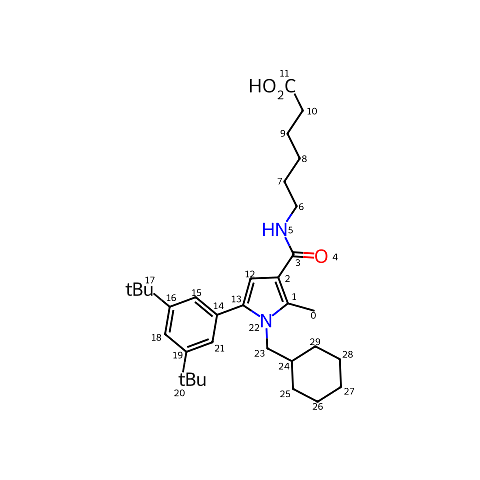 Cc1c(C(=O)NCCCCCC(=O)O)cc(-c2cc(C(C)(C)C)cc(C(C)(C)C)c2)n1CC1CCCCC1